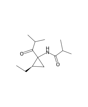 CC[C@@H]1CC1(NC(=O)C(C)C)C(=O)C(C)C